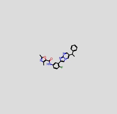 Cc1nc(C)c(C(=O)Nc2ccc(F)c(-c3cn4cc(C(C)c5ccccc5)cnc4n3)c2)o1